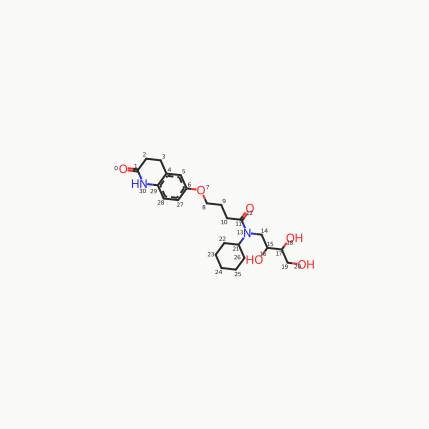 O=C1CCc2cc(OCCCC(=O)N(CC(O)C(O)CO)C3CCCCC3)ccc2N1